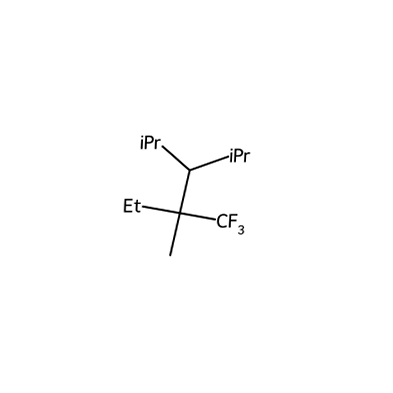 CCC(C)(C(C(C)C)C(C)C)C(F)(F)F